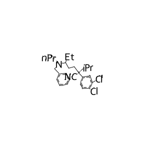 CCCN(Cc1ccccc1)C(CC)CCC(C#N)(c1ccc(Cl)c(Cl)c1)C(C)C